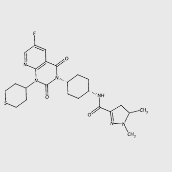 CC1CC(C(=O)N[C@H]2CC[C@@H](n3c(=O)c4cc(F)cnc4n(C4CCSCC4)c3=O)CC2)=NN1C